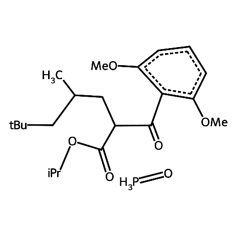 COc1cccc(OC)c1C(=O)C(CC(C)CC(C)(C)C)C(=O)OC(C)C.O=[PH3]